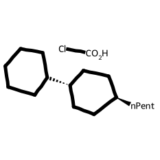 CCCCC[C@H]1CC[C@H](C2CCCCC2)CC1.O=C(O)Cl